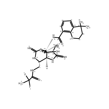 CC(F)(F)C(=O)NC[C@@H]1NC(=N)N2C[C@H](NC(=O)c3cccc4c3OCCC4(C)C)[C@](C)(O)[C@]23[C@H]1NC(=N)N3O